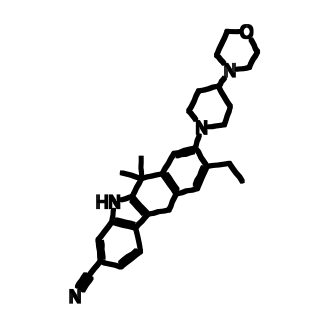 CCc1cc2c(cc1N1CCC(N3CCOCC3)CC1)C(C)(C)c1[nH]c3cc(C#N)ccc3c1C2